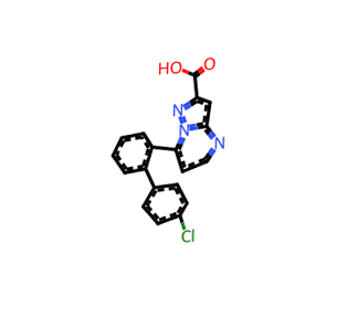 O=C(O)c1cc2nccc(-c3ccccc3-c3ccc(Cl)cc3)n2n1